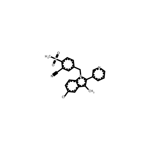 Cc1c(-c2cccnc2)n(Cc2ccc(S(C)(=O)=O)c(C#N)c2)c2ccc(Cl)cc12